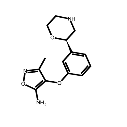 Cc1noc(N)c1Oc1cccc([C@@H]2CNCCO2)c1